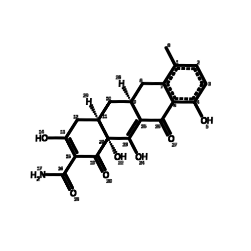 Cc1ccc(O)c2c1C[C@@H]1C[C@@H]3CC(O)=C(C(N)=O)C(=O)[C@]3(O)C(O)=C1C2=O